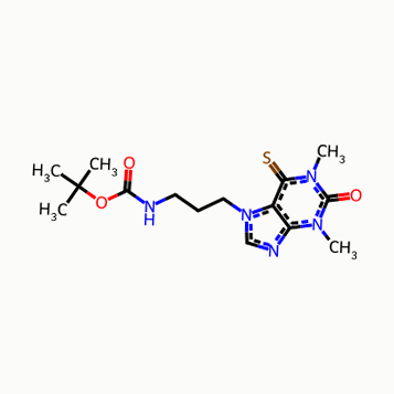 Cn1c(=S)c2c(ncn2CCCNC(=O)OC(C)(C)C)n(C)c1=O